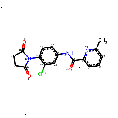 Cc1cccc(C(=O)Nc2ccc(N3C(=O)CCC3=O)c(Cl)c2)n1